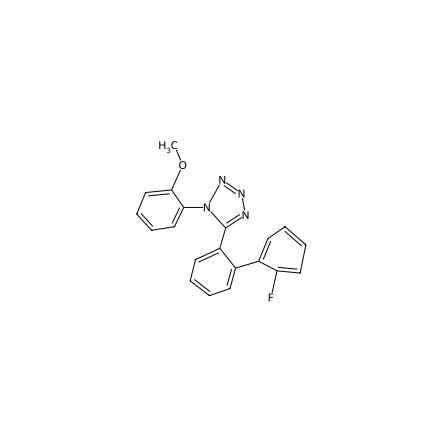 COc1ccccc1-n1nnnc1-c1ccccc1-c1ccccc1F